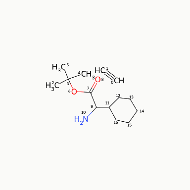 C#C.CC(C)(C)OC(=O)C(N)C1CCCCC1